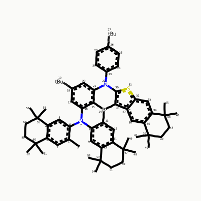 Cc1cc2c(cc1N1c3cc4c(cc3B3c5c1cc(C(C)(C)C)cc5N(c1ccc(C(C)(C)C)cc1)c1sc5cc6c(cc5c13)C(C)(C)CCC6(C)C)C(C)(C)CCC4(C)C)C(C)(C)CCC2(C)C